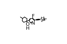 CC1CCC(O)(c2cnc(C#C[Si](C)(C)C(C)(C)C)c(F)c2)CC1